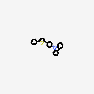 c1ccc(-c2ccc(-c3ccc(-n4c5ccccc5c5ccccc54)cc3)s2)cc1